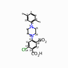 Cc1ccc(C)c(N2CCN(c3cc(Cl)c(C(=O)O)cc3[N+](=O)[O-])CC2)c1